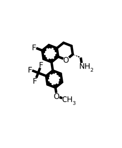 COc1ccc(-c2cc(F)cc3c2O[C@@H](CN)CC3)c(C(F)(F)F)c1